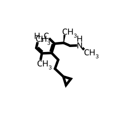 C/C=C(C)\C(CCC1CC1)=C(/C)[C@@H](C)CNC